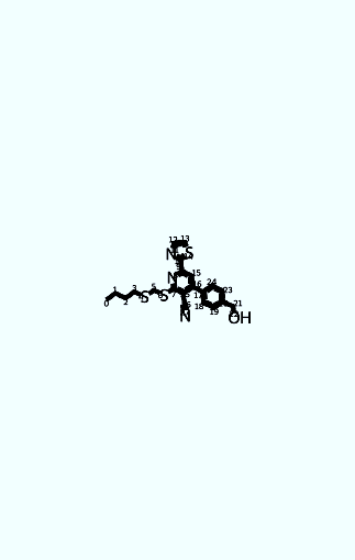 CCCCSCSc1nc(-c2nccs2)cc(-c2ccc(CO)cc2)c1C#N